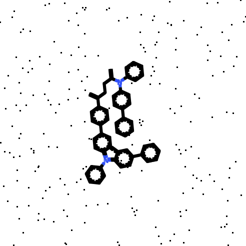 C=C(CCC(=C)N(c1ccccc1)c1ccc(-c2ccccc2)cc1)c1ccc(-c2ccc3c(c2)c2cc(-c4ccccc4)ccc2n3-c2ccccc2)cc1